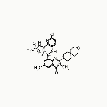 Cc1cc([C@@H](C)Nc2ccc(Cl)nc2C(=O)NS(C)(=O)=O)c2nc(N3CCC4(CCOCC4)CC3)n(C)c(=O)c2c1